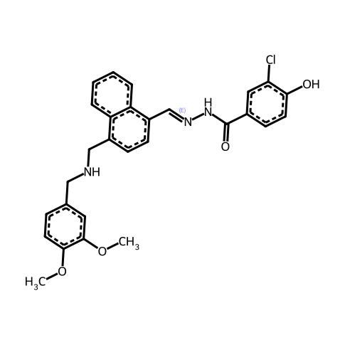 COc1ccc(CNCc2ccc(/C=N/NC(=O)c3ccc(O)c(Cl)c3)c3ccccc23)cc1OC